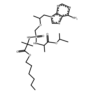 CCCCCCOC(=O)C(C)(C)NP(=O)(COC(C)Cn1cnc2c(N)ncnc21)NC(C)C(=O)OC(C)C